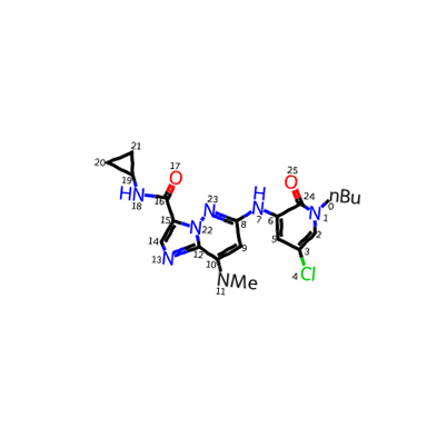 CCCCn1cc(Cl)cc(Nc2cc(NC)c3ncc(C(=O)NC4CC4)n3n2)c1=O